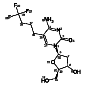 Nc1nc(=O)n([C@H]2CC(O)[C@@H](CO)O2)cc1CCCC(F)(F)F